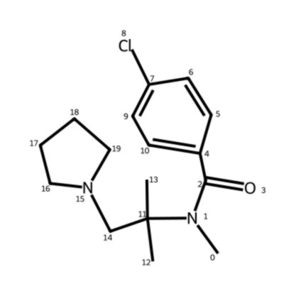 CN(C(=O)c1ccc(Cl)cc1)C(C)(C)CN1CCCC1